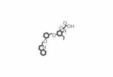 CCc1cc(OCc2cccc(OCc3ccc4ccccc4n3)c2)cc2oc(C(=O)O)nc12